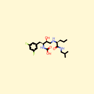 CCC[C@H](NC[C@H](O)[C@H](Cc1cc(F)cc(F)c1)NC(=O)O)C(=O)NCC(C)C